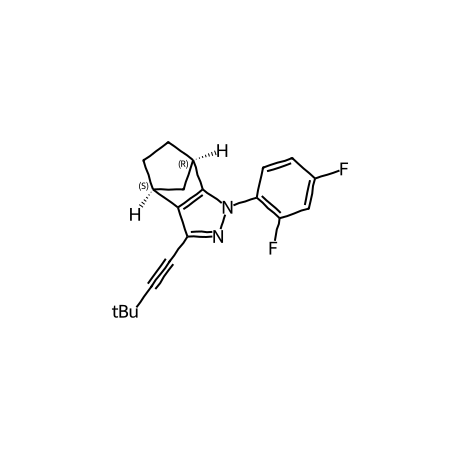 CC(C)(C)C#Cc1nn(-c2ccc(F)cc2F)c2c1[C@H]1CC[C@@H]2C1